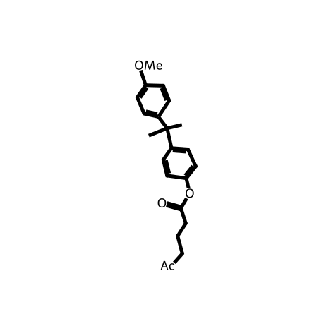 COc1ccc(C(C)(C)c2ccc(OC(=O)CCCC(C)=O)cc2)cc1